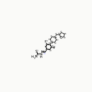 NC(=S)N/N=C/c1cc(F)c(N2CCN(CC3CCCO3)CC2)c(F)c1